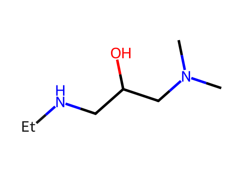 CCNCC(O)CN(C)C